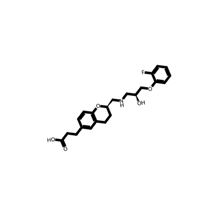 O=C(O)CCc1ccc2c(c1)CC[C@H](CNC[C@H](O)COc1ccccc1F)O2